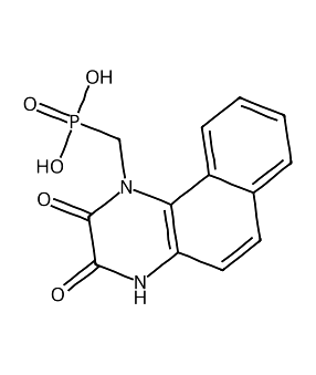 O=c1[nH]c2ccc3ccccc3c2n(CP(=O)(O)O)c1=O